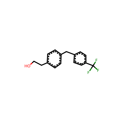 OCCc1ccc([CH]c2ccc(C(F)(F)F)cc2)cc1